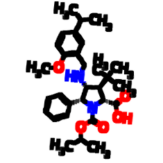 COc1ccc(C(C)C)cc1CN[C@@H]1[C@@H](C(C)(C)C)[C@H](C(=O)O)N(C(=O)OC(C)C)[C@@H]1c1ccccc1